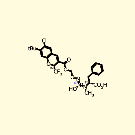 CN([C@@H](Cc1ccccc1)C(=O)O)/[N+](O)=N/OCOC(=O)C1=Cc2cc(Cl)c(C(C)(C)C)cc2O[C@@H]1C(F)(F)F